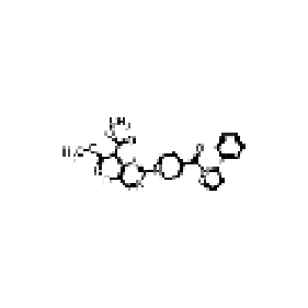 COC(=O)C(C(=O)OC)c1nc(N2CCC(C(=O)N3N=CC[C@H]3c3ccccc3)CC2)ncc1F